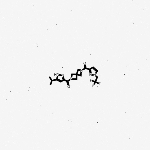 CC(C)c1cc(C(=O)N2CC3(C2)CN(C(=O)c2ccn(CC(F)(F)F)n2)C3)n[nH]1